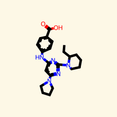 CCC1CCCCN1c1nc(Nc2ccc(C(=O)O)cc2)cc(N2CCCC2)n1